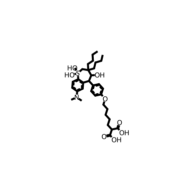 CCCCC1(CCCC)CS(O)(O)c2ccc(N(C)C)cc2C(c2ccc(OCCCCCC(C(=O)O)C(=O)O)cc2)C1O